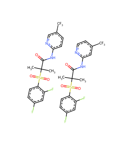 CC(C)(C(=O)Nc1cc(C(F)(F)F)ccn1)S(=O)(=O)c1ccc(F)cc1F.CC(C)(C(=O)Nc1ccc(C(F)(F)F)cn1)S(=O)(=O)c1ccc(F)cc1F